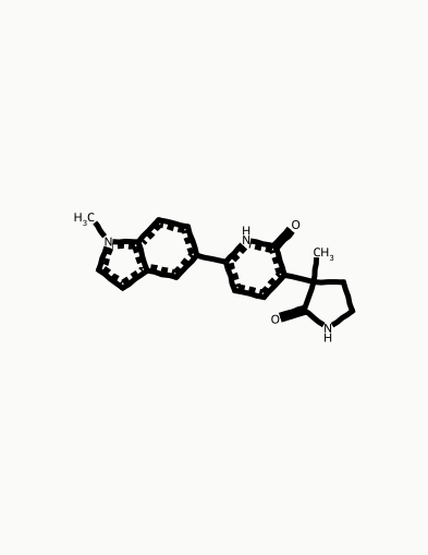 Cn1ccc2cc(-c3ccc(C4(C)CCNC4=O)c(=O)[nH]3)ccc21